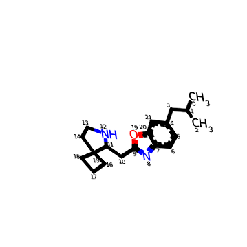 CC(C)Cc1ccc2nc(CC3NCCC34CCC4)oc2c1